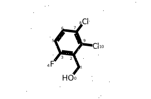 OCc1c(F)ccc(Cl)c1Cl